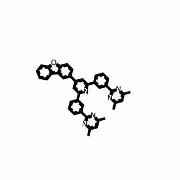 Cc1cc(C)nc(-c2cccc(-c3cc(-c4ccc5oc6ccccc6c5c4)cc(-c4cccc(-c5nc(C)cc(C)n5)c4)n3)c2)n1